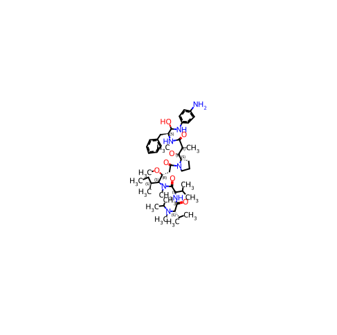 CC[C@H](C)[C@@H]([C@@H](CC(=O)N1CCC[C@H]1[C@H](OC)[C@@H](C)C(=O)N[C@@H](Cc1ccccc1)C(O)Nc1ccc(N)cc1)OC)N(C)C(=O)[C@@H](NC(=O)[C@H](C(C)C)N(C)C(C)C)C(C)C